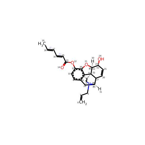 C=CCN1CC[C@]23c4c5ccc(OC(=O)/C=C/C=C/C)c4O[C@H]2[C@@H](O)C=CC3[C@H]1C5